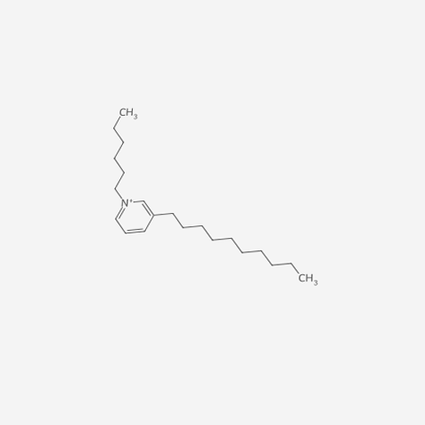 CCCCCCCCCCc1ccc[n+](CCCCCC)c1